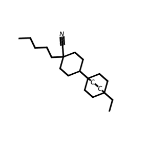 CCCCCC1(C#N)CCC(C23CCC(CC)(CC2)CC3)CC1